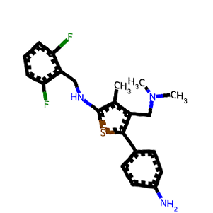 Cc1c(NCc2c(F)cccc2F)sc(-c2ccc(N)cc2)c1CN(C)C